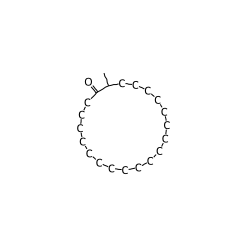 CC1CCCCCCCCCCCCCCCCCCC1=O